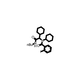 CCCCNC(=O)C(C1CCCCC1)N(C(=O)c1ccccc1I)C1CCCCC1